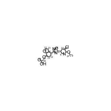 CC(C)Oc1ncc(-c2nc(-c3ccc(OCC(=O)O)c4occc34)no2)cc1Cl